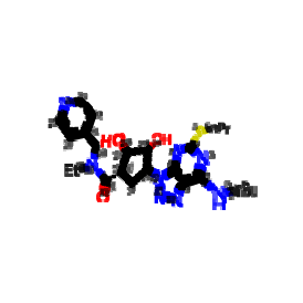 CCCCNc1nc(SCCC)nc2c1nnn2C1C[C@H](C(=O)N(CC)Cc2ccncc2)C(O)C1O